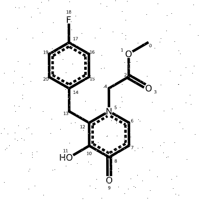 COC(=O)Cn1ccc(=O)c(O)c1Cc1ccc(F)cc1